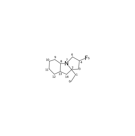 CCC12CC(F)CN1C1CCCCC1C2